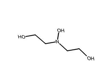 OCCN(O)CCO